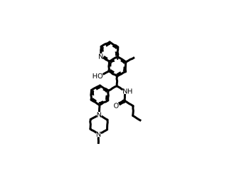 CCCC(=O)NC(c1cccc(N2CCN(C)CC2)c1)c1cc(C)c2cccnc2c1O